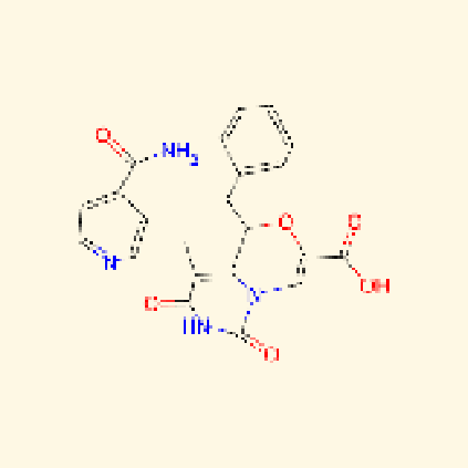 Cc1c2n(c(=O)[nH]c1=O)C=C(C(=O)O)OC2Cc1ccccc1.NC(=O)c1ccncc1